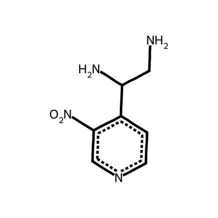 NCC(N)c1ccncc1[N+](=O)[O-]